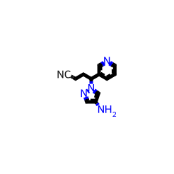 N#CCCC(c1cccnc1)n1cc(N)cn1